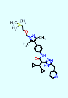 Cc1nn(COCCS(C)(C)C)c(C)c1-c1ccc(NC(=O)C(c2nnc(Cc3cccnc3)[nH]2)C(C2CC2)C2CC2)cc1